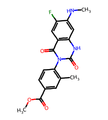 CNc1cc2[nH]c(=O)n(-c3ccc(C(=O)OC)cc3C)c(=O)c2cc1F